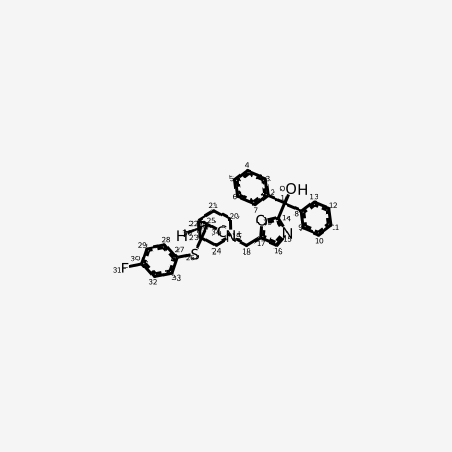 OC(c1ccccc1)(c1ccccc1)c1ncc(C[N+]23CCC(CC2)[C@@H](Sc2ccc(F)cc2)C3)o1